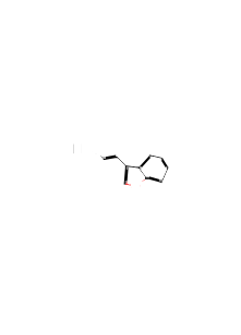 CC=Cc1coc2ccccc12